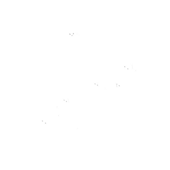 C=C(C#N)C(=O)Nc1cccc(Oc2ncnc(N)c2-c2ccc(F)c(OC)c2)c1